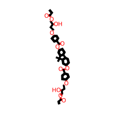 C=CC(=O)OCC(O)CCOc1ccc(C(=O)Oc2ccc3c(c2)C(C)(C)c2cc(OC(=O)c4ccc(OCCC(O)COC(=O)C=C)cc4)ccc2-3)cc1